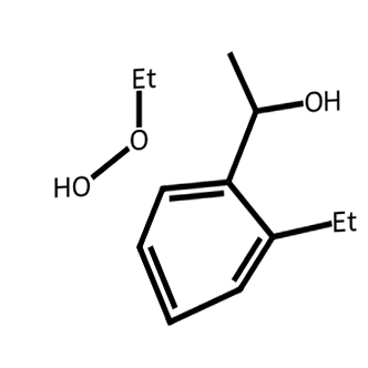 CCOO.CCc1ccccc1C(C)O